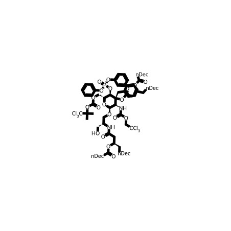 CCCCCCCCCCC[C@H](CC(=O)N[C@H](CO)CO[C@H]1O[C@H](COC(=O)OC(C)(C)C(Cl)(Cl)Cl)[C@@H](OP(=O)(Oc2ccccc2)Oc2ccccc2)[C@](Cc2ccccc2)(OC(=O)C[C@@H](CCCCCCCCCCC)OC(=O)CCCCCCCCCC)[C@@H]1NC(=O)OCC(Cl)(Cl)Cl)OC(=O)CCCCCCCCCC